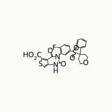 O=C(O)c1scc2[nH]c(=O)n(-c3cc(S(=O)(=O)C4(c5ccccc5)CCOCC4)ccc3F)c(=O)c12